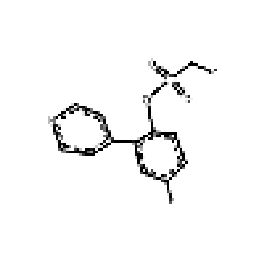 O=S(=O)(CF)Oc1ccc(F)cc1-c1ccncc1